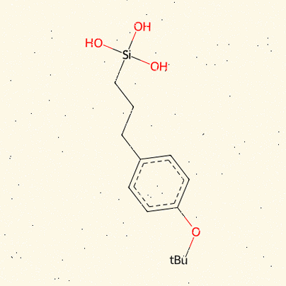 CC(C)(C)Oc1ccc(CCC[Si](O)(O)O)cc1